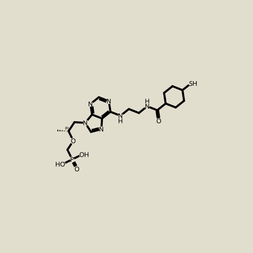 C[C@H](Cn1cnc2c(NCCNC(=O)C3CCC(S)CC3)ncnc21)OCP(=O)(O)O